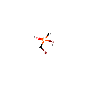 CP(=O)(Br)CBr